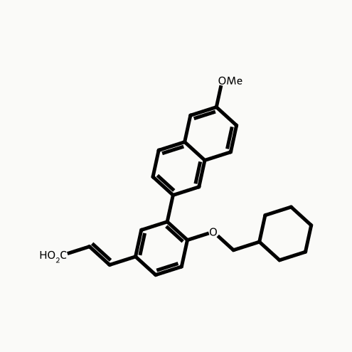 COc1ccc2cc(-c3cc(C=CC(=O)O)ccc3OCC3CCCCC3)ccc2c1